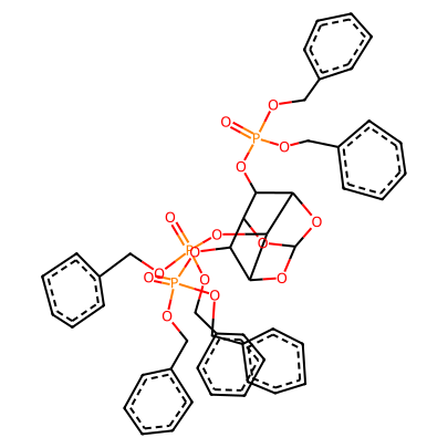 O=P(OCc1ccccc1)(OCc1ccccc1)OC1C2OC3OC1C(OP(=O)(OCc1ccccc1)OCc1ccccc1)C(O3)C2OP(=O)(OCc1ccccc1)OCc1ccccc1